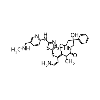 C=C(C(=O)NCC(O)(CCC)c1ccccc1)/C(F)=C(\C=C/N)Sc1cnc(Nc2ccc(CNC)cn2)s1